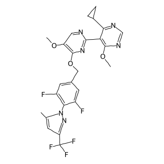 COc1cnc(-c2c(OC)ncnc2C2CC2)nc1OCc1cc(F)c(-n2nc(C(F)(F)F)cc2C)c(F)c1